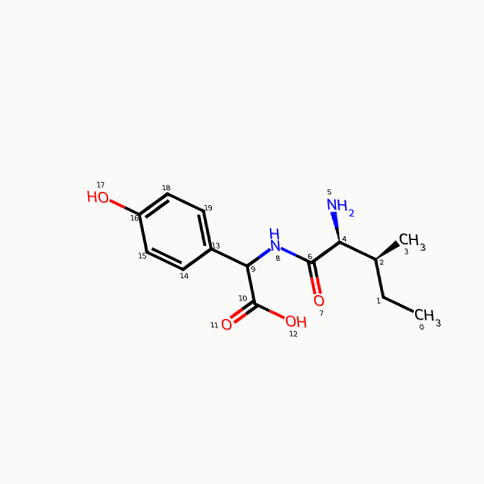 CC[C@H](C)[C@H](N)C(=O)NC(C(=O)O)c1ccc(O)cc1